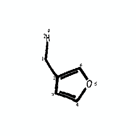 [2H][CH]c1ccoc1